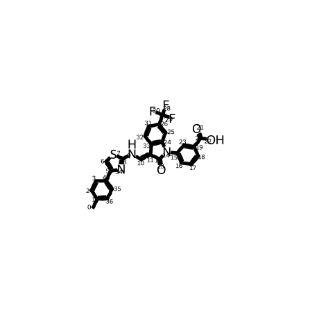 Cc1ccc(-c2csc(N/C=C3/C(=O)N(c4cccc(C(=O)O)c4)c4cc(C(F)(F)F)ccc43)n2)cc1